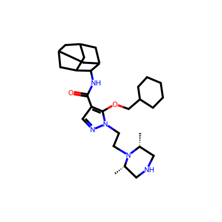 C[C@@H]1CNC[C@H](C)N1CCn1ncc(C(=O)NC2C3CC4CC(C3)CC2C4)c1OCC1CCCCC1